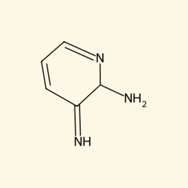 N=C1C=CC=NC1N